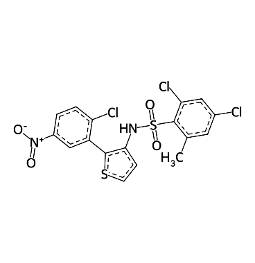 Cc1cc(Cl)cc(Cl)c1S(=O)(=O)Nc1ccsc1-c1cc([N+](=O)[O-])ccc1Cl